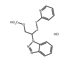 Cl.O=C(O)OCC(SSc1ccccn1)n1nnc2ccccc21